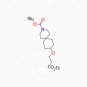 CCOC(=O)CCOC1CCC2(CC1)CCN(C(=O)OC(C)(C)C)CC2